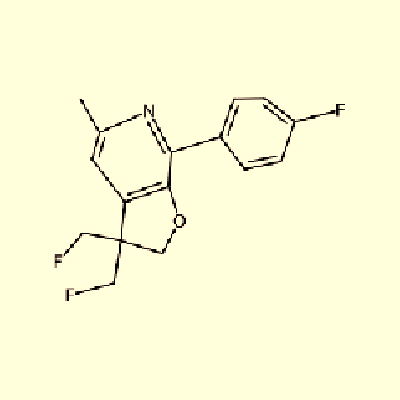 Cc1cc2c(c(-c3ccc(F)cc3)n1)OCC2(CF)CF